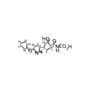 O=C(O)NC(=O)c1ccc(-c2ccc(Oc3ccccc3)nn2)cc1O